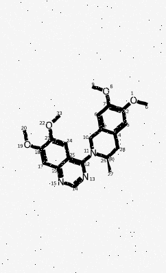 COc1cc2c(cc1OC)CN(c1ncnc3cc(OC)c(OC)cc13)[C@H](C)C2